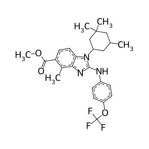 COC(=O)c1ccc2c(nc(Nc3ccc(OC(F)(F)F)cc3)n2C2CC(C)CC(C)(C)C2)c1C